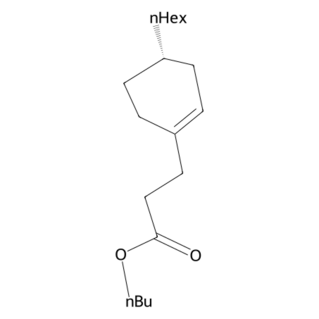 CCCCCC[C@@H]1CC=C(CCC(=O)OCCCC)CC1